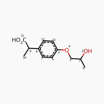 CC(O)COc1ccc(C(C)C(=O)O)cc1